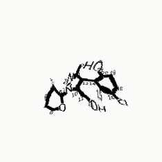 Cc1nn(C2CCCCO2)c(CO)c1-c1cc(Cl)ccc1O